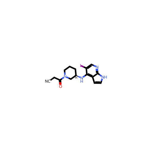 N#CCC(=O)N1CCC[C@@H](Nc2c(I)cnc3[nH]ccc23)C1